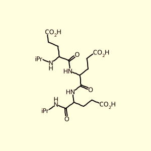 CC(C)NC(=O)C(CCC(=O)O)NC(=O)C(CCC(=O)O)NC(=O)C(CCC(=O)O)NC(C)C